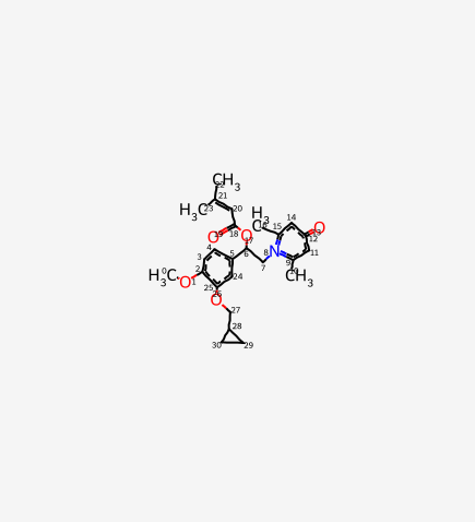 COc1ccc(C(Cn2c(C)cc(=O)cc2C)OC(=O)C=C(C)C)cc1OCC1CC1